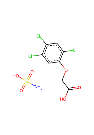 NS(=O)(=O)O.O=C(O)COc1cc(Cl)c(Cl)cc1Cl